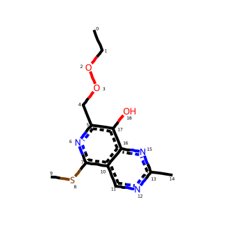 CCOOCc1nc(SC)c2cnc(C)nc2c1O